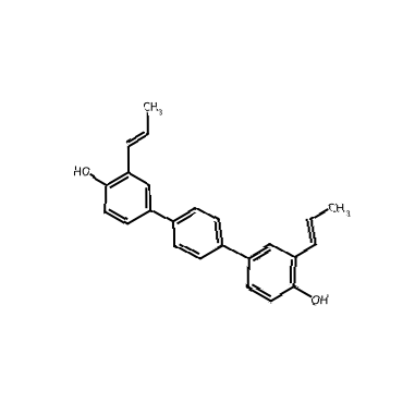 CC=Cc1cc(-c2ccc(-c3ccc(O)c(C=CC)c3)cc2)ccc1O